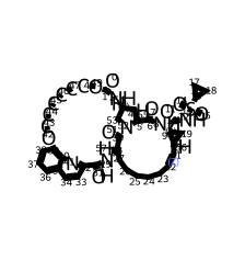 O=C1N[C@@H]2C[C@H]3C(=O)N[C@]4(C(=O)NS(=O)(=O)C5CC5)C[C@H]4/C=C\CCCCC[C@H](NC(=O)c4ccc5cccc(c5n4)OCCCCCCO1)C(=O)N3C2